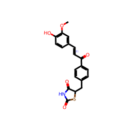 COc1cc(/C=C/C(=O)c2ccc(CC3SC(=O)NC3=O)cc2)ccc1O